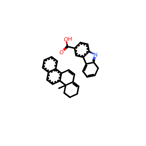 CC12CCCC=C1C=Cc1c2ccc2ccccc12.O=C(O)c1ccc2c(c1)C1=CC=CCC1=N2